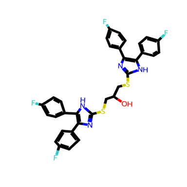 OC(CSc1nc(-c2ccc(F)cc2)c(-c2ccc(F)cc2)[nH]1)CSc1nc(-c2ccc(F)cc2)c(-c2ccc(F)cc2)[nH]1